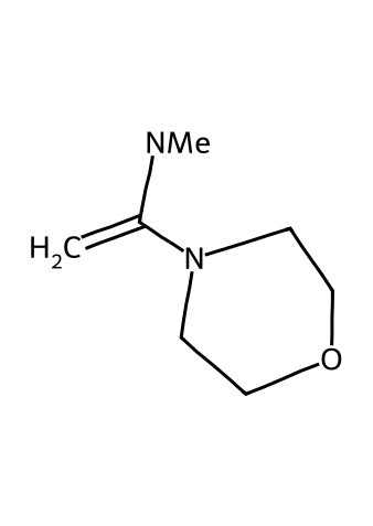 C=C(NC)N1CCOCC1